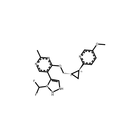 COc1ccc([C@H]2C[C@@H]2COc2nc(C)ncc2C2=CNNN2C(F)F)nc1